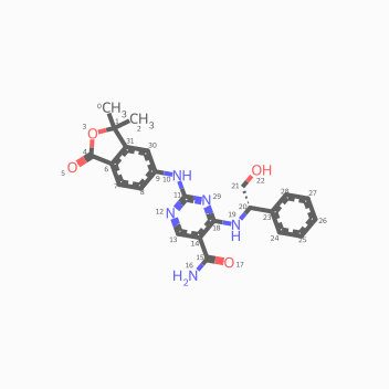 CC1(C)OC(=O)c2ccc(Nc3ncc(C(N)=O)c(N[C@H](CO)c4ccccc4)n3)cc21